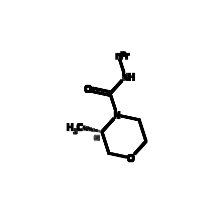 CCCNC(=O)N1CCOC[C@@H]1C